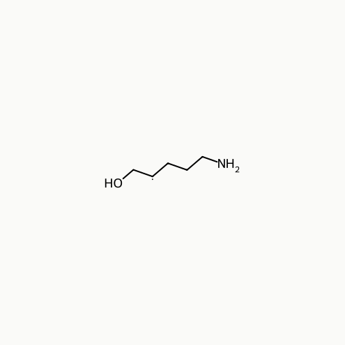 NCCC[CH]CO